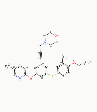 CCOC(=O)COc1ccc(Sc2cc(C#CCN3CCOCC3)cc(Oc3ccc(C(F)(F)F)cn3)c2)cc1C